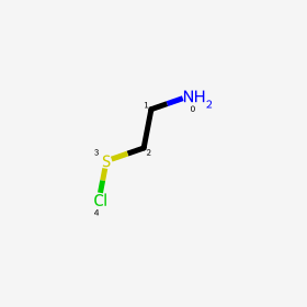 NCCSCl